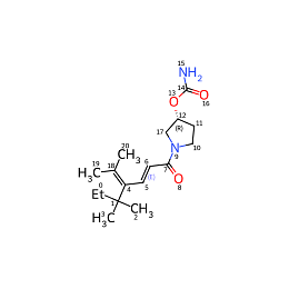 CCC(C)(C)C(/C=C/C(=O)N1CC[C@@H](OC(N)=O)C1)=C(C)C